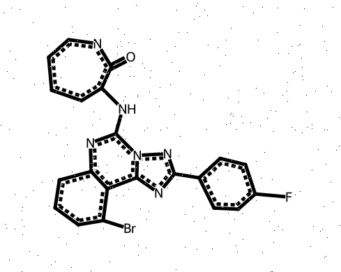 O=c1nccccc1Nc1nc2cccc(Br)c2c2nc(-c3ccc(F)cc3)nn12